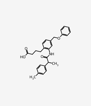 Cc1ccc(C(C)C(=O)Nc2cc(COc3ccccc3)ccc2CCCC(=O)O)cc1